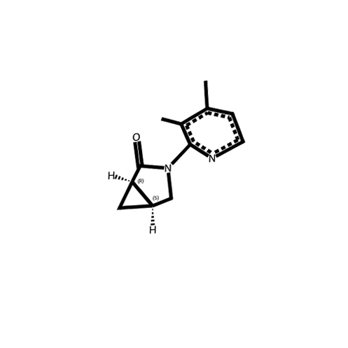 Cc1ccnc(N2C[C@H]3C[C@H]3C2=O)c1C